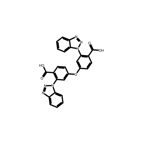 O=C(O)c1ccc(Oc2ccc(C(=O)O)c(-n3nnc4ccccc43)c2)cc1-n1nnc2ccccc21